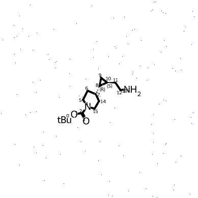 CC(C)(C)OC(=O)N1CCC([C@@H]2C[C@H]2CCN)CC1